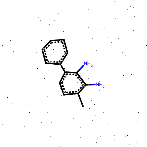 Cc1ccc(-c2ccccc2)c(N)c1N